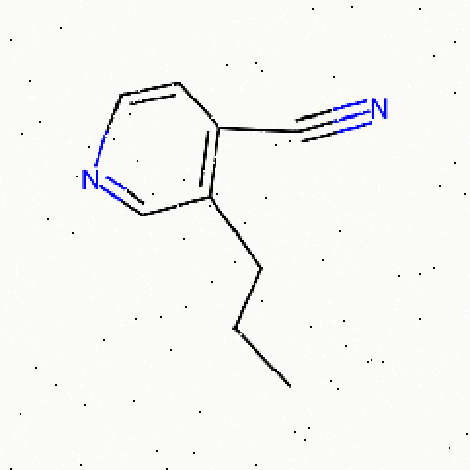 CCCc1cnccc1C#N